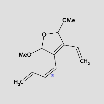 C=C/C=C\C1=C(C=C)C(OC)OC1OC